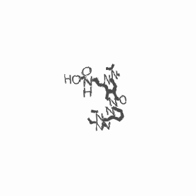 CCc1nnc(-c2cccc(N3Cc4c(cc(N(C)C(C)C)nc4CCNC(=O)O)C3=O)n2)n1CC